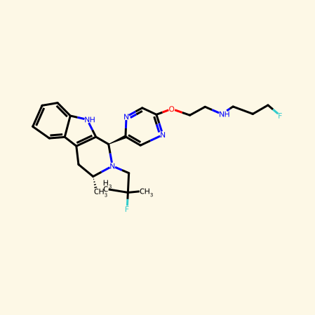 C[C@@H]1Cc2c([nH]c3ccccc23)[C@@H](c2cnc(OCCNCCCF)cn2)N1CC(C)(C)F